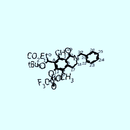 CCOC(=O)C(OC(C)(C)C)c1c(C)c2c(c(C)c1OS(=O)(=O)C(F)(F)F)CCN(Cc1ccccc1)C2=O